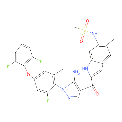 Cc1cc2cc(C(=O)c3cnn(-c4c(C)cc(Oc5c(F)cccc5F)cc4F)c3N)[nH]c2cc1NS(C)(=O)=O